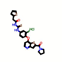 Cl.O=C(Cc1cccs1)NC(=S)Nc1ccc(Oc2ccnc3cc(C(=O)N4CCCC4)sc23)c(F)c1